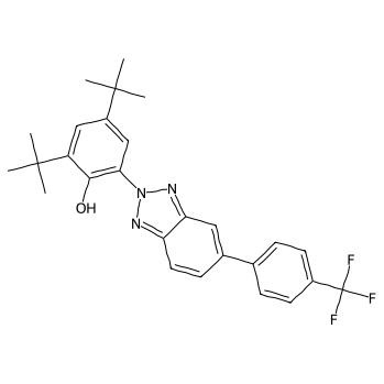 CC(C)(C)c1cc(-n2nc3ccc(-c4ccc(C(F)(F)F)cc4)cc3n2)c(O)c(C(C)(C)C)c1